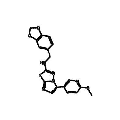 COc1ccc(-c2cnc3sc(NCc4ccc5c(c4)OCO5)nn23)cn1